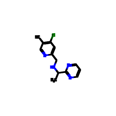 CC(NCc1cc(Cl)c(C#N)cn1)c1ncccn1